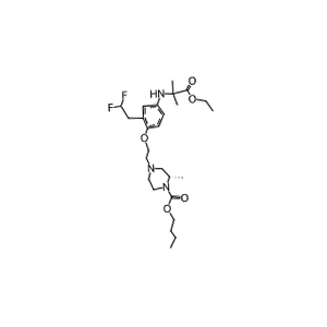 CCCCOC(=O)N1CCN(CCOc2ccc(NC(C)(C)C(=O)OCC)cc2CC(F)F)C[C@@H]1C